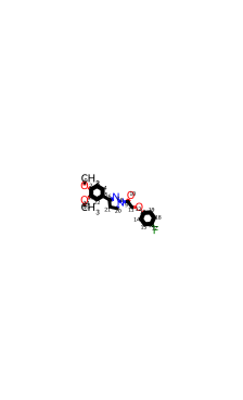 COc1ccc(C2=NN(C(=O)COc3ccc(F)cc3)CC2)cc1OC